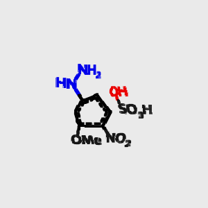 COc1cc(NN)ccc1[N+](=O)[O-].O=S(=O)(O)O